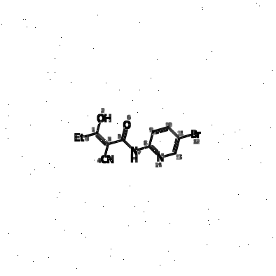 CC/C(O)=C(\C#N)C(=O)Nc1ccc(Br)cn1